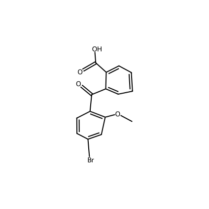 COc1cc(Br)ccc1C(=O)c1ccccc1C(=O)O